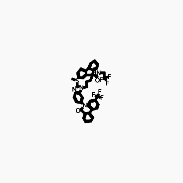 CSc1nc2ccc(NC(=O)c3ccccc3-c3ccc(C(F)(F)F)cc3)cc2n1CCCC1(C(=O)NCC(F)(F)F)c2ccccc2-c2ccccc21